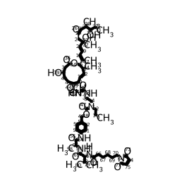 CCCN(CCNC(=N)O[C@H]1/C=C/[C@H](C)[C@@H](/C(C)=C/C=C/C(C)(O)C[C@H]2O[C@@H]2[C@H](C)[C@@H](O)CC)OC(=O)C[C@H](O)CC[C@@]1(C)OC)C(=O)OCc1ccc(NC(=O)[C@H](C)NC(=O)[C@@H](NC(=O)CCCCCN2C(=O)C=CC2=O)C(C)C)cc1